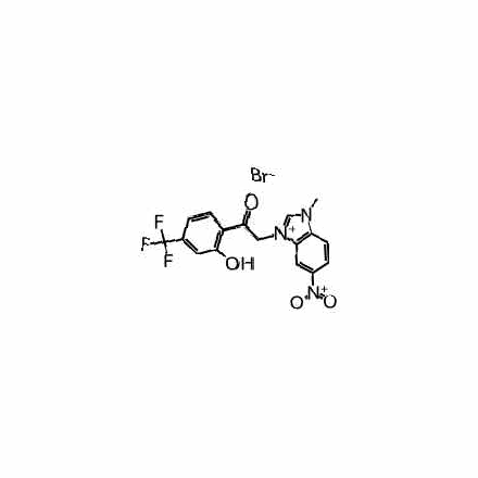 Cn1c[n+](CC(=O)c2ccc(C(F)(F)F)cc2O)c2cc([N+](=O)[O-])ccc21.[Br-]